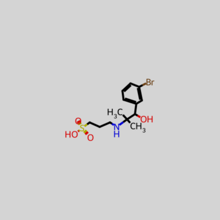 CC(C)(NCCCS(=O)(=O)O)C(O)c1cccc(Br)c1